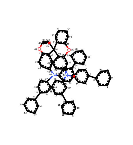 c1ccc(-c2ccc(N(c3cccc(-c4ccccc4)c3)c3ccc4c(c3)Oc3ccccc3C43c4ccccc4Oc4ccc(N(c5ccc(-c6ccccc6)cc5)c5cccc(-c6ccccc6)c5)cc43)cc2)cc1